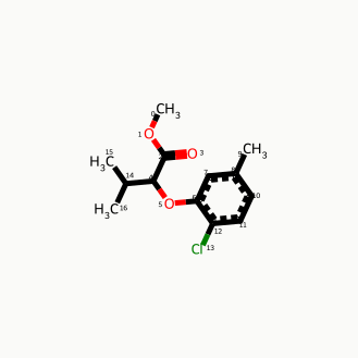 COC(=O)C(Oc1cc(C)ccc1Cl)C(C)C